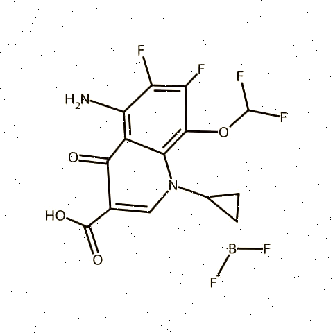 F[B]F.Nc1c(F)c(F)c(OC(F)F)c2c1c(=O)c(C(=O)O)cn2C1CC1